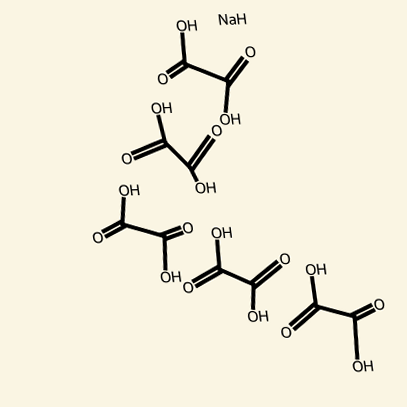 O=C(O)C(=O)O.O=C(O)C(=O)O.O=C(O)C(=O)O.O=C(O)C(=O)O.O=C(O)C(=O)O.[NaH]